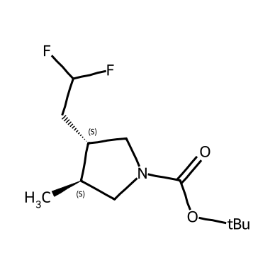 C[C@@H]1CN(C(=O)OC(C)(C)C)C[C@H]1CC(F)F